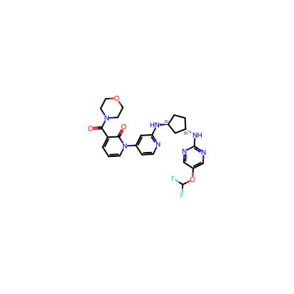 O=C(c1cccn(-c2ccnc(N[C@H]3CC[C@H](Nc4ncc(OC(F)F)cn4)C3)c2)c1=O)N1CCOCC1